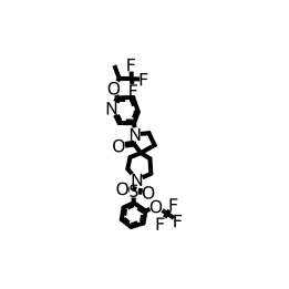 CC(Oc1ccc(N2CCC3(CCN(S(=O)(=O)c4ccccc4OC(F)(F)F)CC3)C2=O)cn1)C(F)(F)F